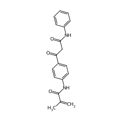 C=C(C)C(=O)Nc1ccc(C(=O)CC(=O)Nc2ccccc2)cc1